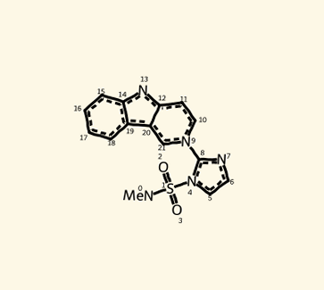 CNS(=O)(=O)n1ccnc1-n1ccc2nc3ccccc3c-2c1